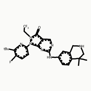 CC(C)(C)c1nc(-n2c3nc(Nc4ccc5c(c4)CNCC5(C)C)ncc3c(=O)n2CC(F)(F)F)ccc1F